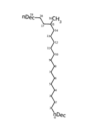 CCCCCCCCCCCCCCCCCCCCCCCCC(C)CCCCCCCCCCCC